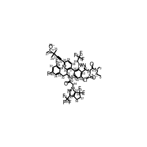 CCN(C)C(=O)N(c1nn(CC(F)(F)F)c2c(-c3ccc(C#CC(C)(C)[S+](C)[O-])nc3C(Cc3cc(F)cc(F)c3)NC(=O)Cn3nc(C(F)(F)F)c4c3C(F)(F)CC4)ccc(Cl)c12)[S+](C)[O-]